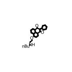 CCCCNCCOc1ccc2c3c(cccc13)C(=O)c1c-2oc2ccccc12